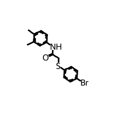 Cc1ccc(NC(=O)CSc2ccc(Br)cc2)cc1C